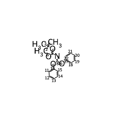 CC(C)(C)OC(=O)N=C(Oc1ccccc1)Oc1ccccc1